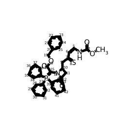 COC(=O)N/C=C\C(=S)CC1CC(=O)N1C(C(=O)OCc1ccccc1)=P(c1ccccc1)(c1ccccc1)c1ccccc1